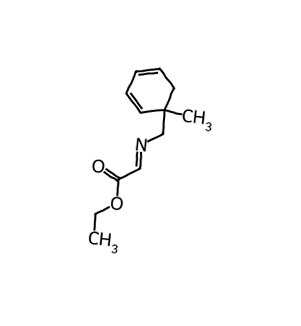 CCOC(=O)C=NCC1(C)C=CC=CC1